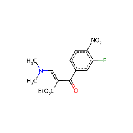 CCOC(=O)C(=CN(C)C)C(=O)c1ccc([N+](=O)[O-])c(F)c1